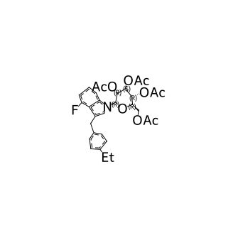 CCc1ccc(Cc2cn([C@@H]3O[C@H](COC(C)=O)[C@@H](OC(C)=O)[C@H](OC(C)=O)[C@H]3OC(C)=O)c3cccc(F)c23)cc1